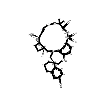 CC1(C)OC/C=C/[C@H](N)[C@@H]2CC[C@H]2CN2C[C@@]3(CCCc4cc(Cl)ccc43)COc3ccc(cc32)S(=O)(=O)NC1=O